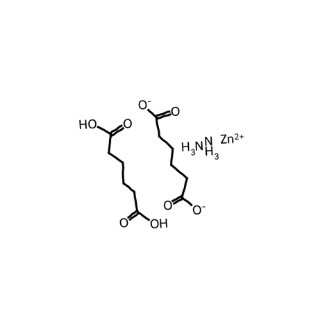 N.N.O=C(O)CCCCC(=O)O.O=C([O-])CCCCC(=O)[O-].[Zn+2]